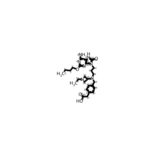 CCCCOc1nc(N)c2[nH]c(=O)n(CCCN(Cc3ccc(CC(=O)O)cc3)C3CN(CC)C3)c2n1